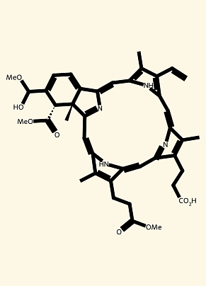 C=Cc1c(C)c2cc3nc(cc4[nH]c(cc5nc(cc1[nH]2)C(C)=C5CCC(=O)O)c(CCC(=O)OC)c4C)[C@@]1(C)C3=CC=C(C(O)OC)[C@H]1C(=O)OC